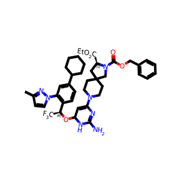 CCOC(=O)[C@@H]1CC2(CCN(C3=CC(O[C@H](c4ccc(C5CCCCC5)cc4-n4ccc(C)n4)C(F)(F)F)NC(N)=N3)CC2)CN1C(=O)OCc1ccccc1